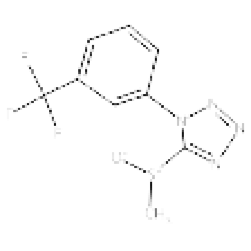 C[S+]([O-])c1nnnn1-c1cccc(C(F)(F)F)c1